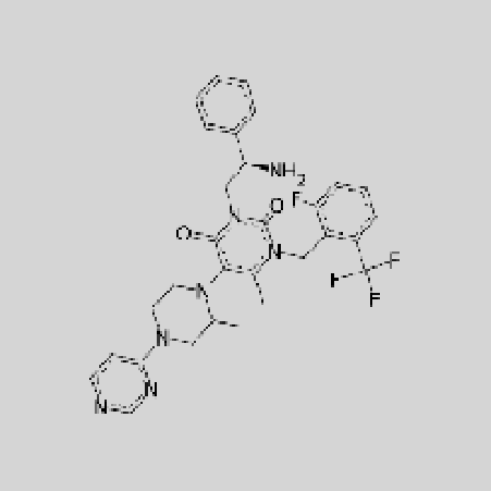 Cc1c(N2CCN(c3ccncn3)CC2C)c(=O)n(C[C@H](N)c2ccccc2)c(=O)n1Cc1c(F)cccc1C(F)(F)F